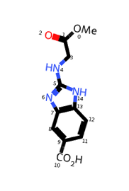 COC(=O)CNc1nc2cc(C(=O)O)ccc2[nH]1